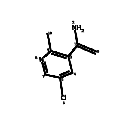 C=C(N)c1cc(Cl)cnc1C